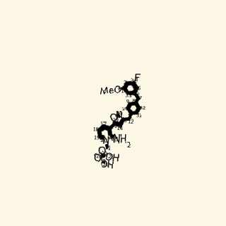 COc1cc(F)cc(Cc2ccc(Cc3cc(-c4ccc[n+](COP(=O)(O)O)c4N)on3)cc2)c1